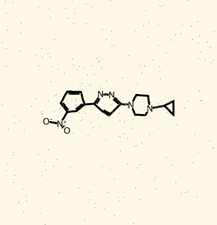 O=[N+]([O-])c1cccc(-c2ccc(N3CCN(C4CC4)CC3)nn2)c1